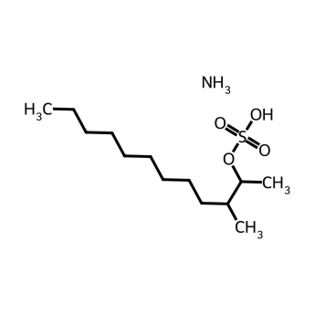 CCCCCCCCCC(C)C(C)OS(=O)(=O)O.N